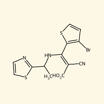 CC(N/C(=C(/C#N)C(=O)O)c1sccc1Br)c1nccs1